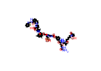 Cc1c(-c2ccc(N3CCc4cccc(C(=O)Nc5nc6ccccc6s5)c4C3)nc2C(=O)O)cnn1CC12CC3(C)CC(C)(C1)CC(OCCN(CCCNC(=O)OCc1ccc(NC(=O)[C@H](CCCNC(N)=O)NC(=O)[C@@H](NC(=O)CCCCCN4C(=O)C=CC4O)C(C)C)cc1)CCS(=O)(=O)O)(C3)C2